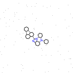 c1ccc(N2c3ccccc3-n3c(-c4ccc5c6c(cccc46)-c4ccccc4-5)nc4cccc2c43)cc1